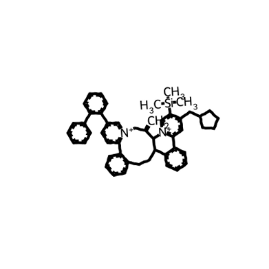 C=C1C[n+]2cc(-c3ccccc3-c3ccccc3)ccc2-c2ccccc2CCC2c3ccccc3-c3cc(CC4CCCC4)c([Si](C)(C)C)c[n+]3C12